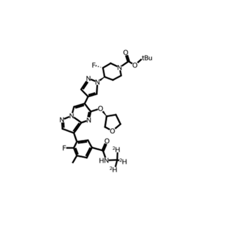 [2H]C([2H])([2H])NC(=O)c1cc(C)c(F)c(-c2cnn3cc(-c4cnn([C@@H]5CCN(C(=O)OC(C)(C)C)C[C@H]5F)c4)c(O[C@H]4CCOC4)nc23)c1